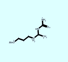 COCCC[SiH2]C(C)NC(N)=O